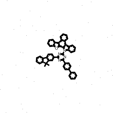 CC1(C)c2ccccc2-c2ccc(-c3nc(-c4ccc(-c5ccccc5)cc4)nc(-n4c5ccccc5c5c6ccccc6c6c7ccccc7oc6c54)n3)cc21